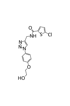 O=C(NCc1cn(-c2ccc(OCCO)cc2)nn1)c1ccc(Cl)s1